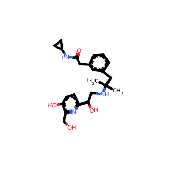 CC(C)(Cc1cccc(CC(=O)NC2CC2)c1)NCC(O)c1ccc(O)c(CO)n1